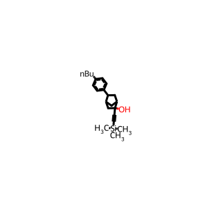 CCCCc1ccc(C2CC3CC2CC3(O)C#C[Si](C)(C)C)cc1